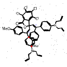 C=CCN(CC=C)c1ccc(/C(=C/C2(/C=C(\c3ccc(OC)cc3)c3ccc(N(CC=C)CC=C)cc3)OC(=O)c3c(Cl)c(Cl)c(Cl)c(Cl)c32)c2ccc(OC)cc2)cc1